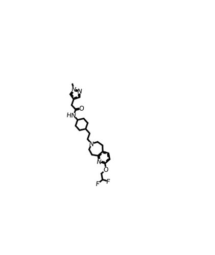 Cn1cc(CC(=O)NC2CCC(CCN3CCc4ccc(OCC(F)F)nc4CC3)CC2)cn1